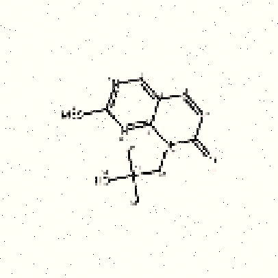 CSc1ncc2ccc(=O)n(CC(C)(C)O)c2n1